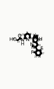 CC1(C)[C@H]2CC[C@]1(c1cccc(NC(=O)CO)n1)c1nnc(-c3c(F)cccc3F)cc12